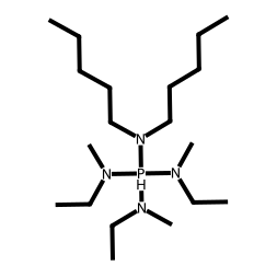 CCCCCN(CCCCC)[PH](N(C)CC)(N(C)CC)N(C)CC